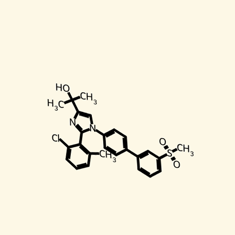 Cc1cccc(Cl)c1-c1nc(C(C)(C)O)cn1-c1ccc(-c2cccc(S(C)(=O)=O)c2)cc1